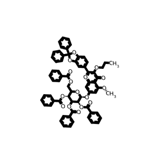 CCCOc1c(-c2ccc3c(c2)OC(c2ccccc2)(c2ccccc2)O3)oc2cc(O[C@@H]3OC(COC(=O)c4ccccc4)[C@@H](OC(=O)c4ccccc4)C(OC(=O)c4ccccc4)[C@@H]3OC(=O)c3ccccc3)cc(OC)c2c1=O